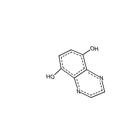 Oc1ccc(O)c2nccnc12